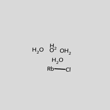 O.O.O.O.[Cl][Rb]